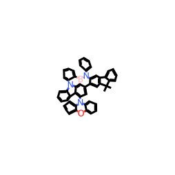 CC1(C)c2ccccc2-c2cc3c(cc21)-c1cc(N2c4ccccc4Oc4ccccc42)c2c4ccccc4n4c2c1B(c1ccccc1-4)N3c1ccccc1